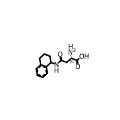 N[C@@H](CC(=O)NC1CCCc2ccccc21)C(=O)O